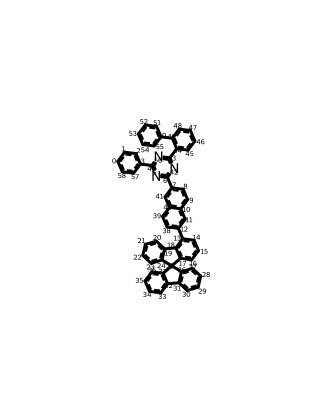 c1ccc(-c2nc(-c3ccc4cc(-c5cccc6c5-c5ccccc5C65c6ccccc6-c6ccccc65)ccc4c3)nc(-c3ccccc3-c3ccccc3)n2)cc1